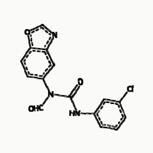 O=CN(C(=O)Nc1cccc(Cl)c1)c1ccc2ocnc2c1